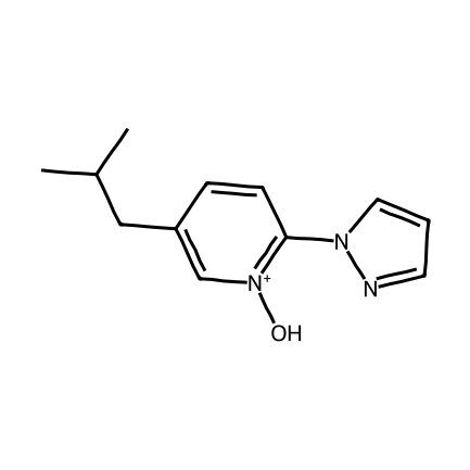 CC(C)Cc1ccc(-n2cccn2)[n+](O)c1